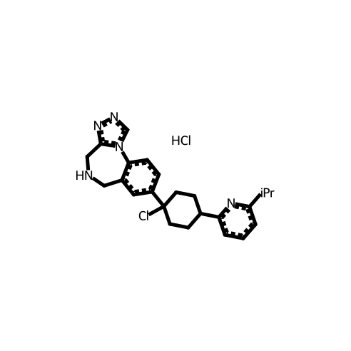 CC(C)c1cccc(C2CCC(Cl)(c3ccc4c(c3)CNCc3nncn3-4)CC2)n1.Cl